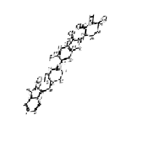 Cn1nc2ccccc2c1CN1CCN(c2cc3c(cc2F)C(=O)N(C2CCC(=O)NC2=O)C3)CC1